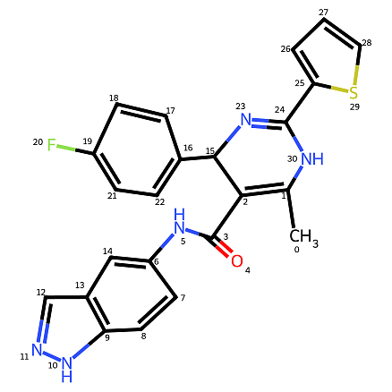 CC1=C(C(=O)Nc2ccc3[nH]ncc3c2)C(c2ccc(F)cc2)N=C(c2cccs2)N1